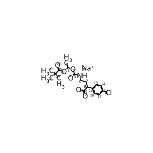 CC(OC(=O)NCCC(C(=O)[O-])c1ccc(Cl)cc1)OC(=O)C(C)(C)C.[Na+]